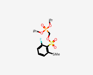 CSc1cccc(F)c1S(=O)(=O)OCP(=O)(OC(C)C)OC(C)C